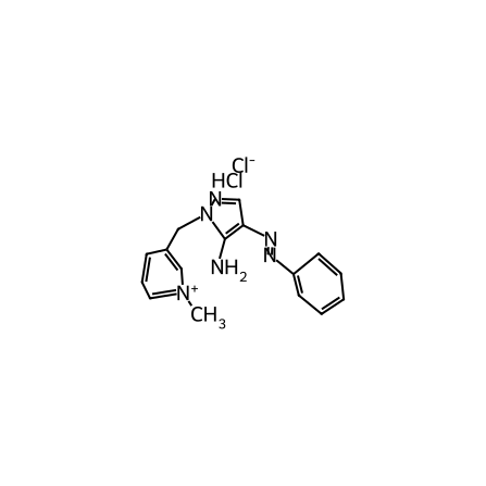 C[n+]1cccc(Cn2ncc(N=Nc3ccccc3)c2N)c1.Cl.[Cl-]